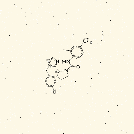 Cc1cc(C(F)(F)F)ccc1NC(=O)N1CCC[C@@H]1c1ncnn1Cc1ccc(Cl)cc1